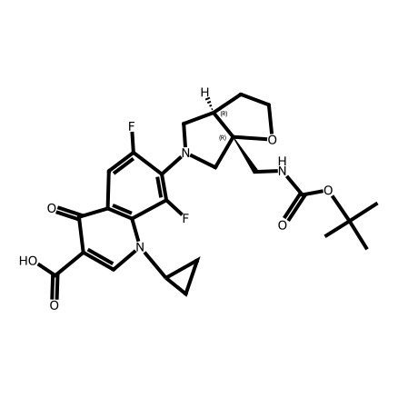 CC(C)(C)OC(=O)NC[C@@]12CN(c3c(F)cc4c(=O)c(C(=O)O)cn(C5CC5)c4c3F)C[C@H]1CCO2